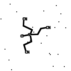 N#CCC[Si](Cl)(CCC#N)CCC#N